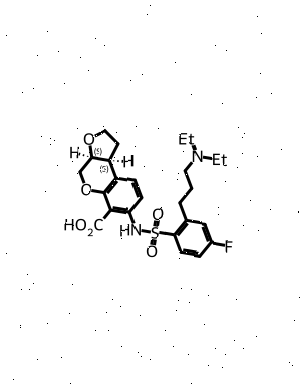 CCN(CC)CCCc1cc(F)ccc1S(=O)(=O)Nc1ccc2c(c1C(=O)O)OC[C@H]1OCC[C@@H]21